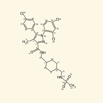 Cc1c(C(=O)NCC2CCC(CNS(C)(=O)=O)CC2)nn(-c2ccc(Cl)cc2Cl)c1-c1ccc(Cl)cc1